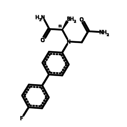 B[C@H](C(N)=O)N(CC(N)=O)c1ccc(-c2ccc(F)cc2)cc1